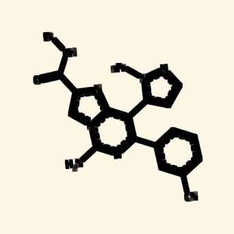 CCCn1nccc1-c1c(-c2cccc(C#N)c2)nc(N)n2cc(C(=O)NCC)nc12